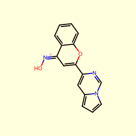 O/N=c1\cc(-c2cc3cccn3cn2)oc2ccccc12